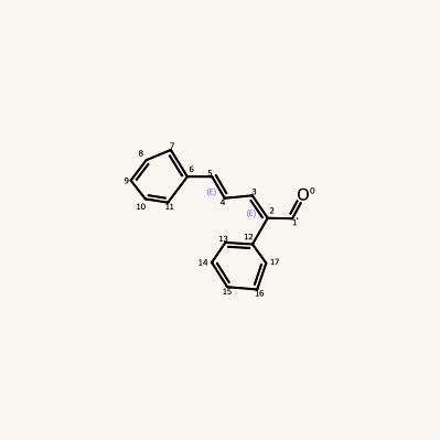 O=[C]/C(=C/C=C/c1ccccc1)c1ccccc1